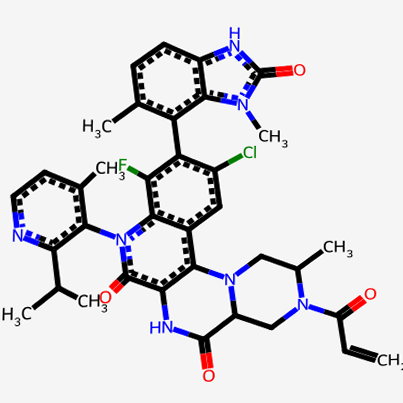 C=CC(=O)N1CC2C(=O)Nc3c(c4cc(Cl)c(-c5c(C)ccc6[nH]c(=O)n(C)c56)c(F)c4n(-c4c(C)ccnc4C(C)C)c3=O)N2CC1C